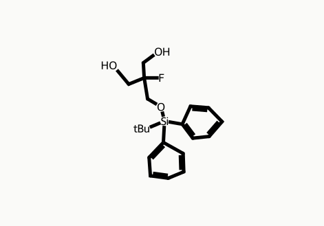 CC(C)(C)[Si](OCC(F)(CO)CO)(c1ccccc1)c1ccccc1